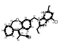 CCc1nc2c(Cl)cc(C)nc2n1Cc1ccc2c(c1)OCc1ccccc1C2=C(C)C#N